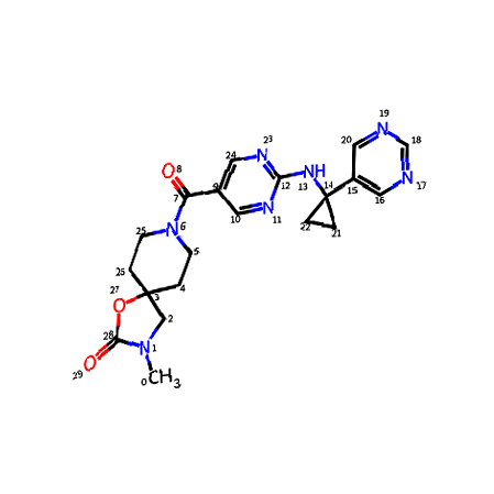 CN1CC2(CCN(C(=O)c3cnc(NC4(c5cncnc5)CC4)nc3)CC2)OC1=O